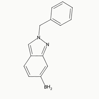 Bc1ccc2cn(Cc3ccccc3)nc2c1